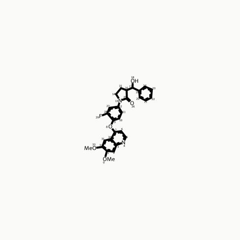 COc1cc2nccc(Oc3ccc(N4CCC(C(O)c5ccccc5)C4=O)cc3F)c2cc1OC